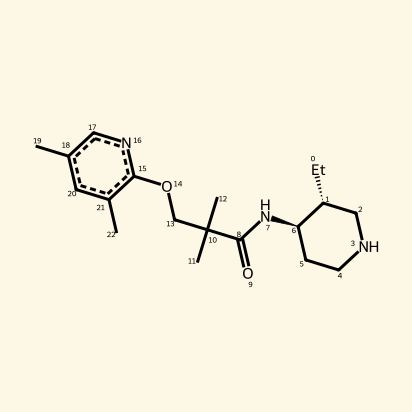 CC[C@@H]1CNCC[C@H]1NC(=O)C(C)(C)COc1ncc(C)cc1C